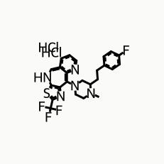 CN1CCN(C2=c3ncccc3=CNc3sc(C(F)(F)F)nc32)CC1CCc1ccc(F)cc1.Cl.Cl